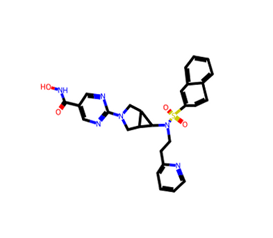 O=C(NO)c1cnc(N2CC3C(C2)C3N(CCc2ccccn2)S(=O)(=O)c2ccc3ccccc3c2)nc1